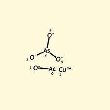 CC(=O)[O-].[Cu+4].[O-][As]([O-])[O-]